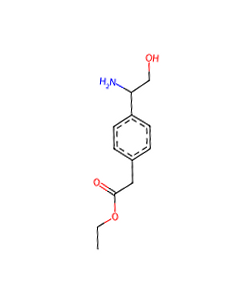 CCOC(=O)Cc1ccc(C(N)CO)cc1